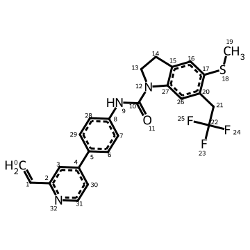 C=Cc1cc(-c2ccc(NC(=O)N3CCc4cc(SC)c(CC(F)(F)F)cc43)cc2)ccn1